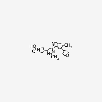 Cc1nc(C2=CCN(C(=O)O)CC2)cc(-n2ncc3cc(C)c(C4=CCOCC4)cc32)n1